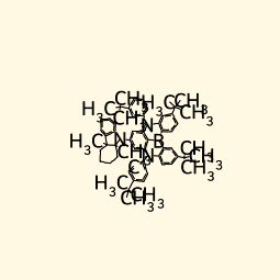 CC(C)(C)c1ccc(N2c3ccc(C(C)(C)C)cc3B3c4ccc(C(C)(C)C)cc4N(c4cccc(C(C)(C)C)c4)c4cc(N5c6ccccc6C6(C)CCCCC56C)cc2c43)cc1